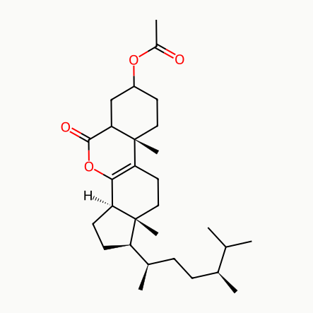 CC(=O)OC1CC[C@]2(C)C3=C(OC(=O)C2C1)[C@@H]1CC[C@H]([C@H](C)CC[C@H](C)C(C)C)[C@@]1(C)CC3